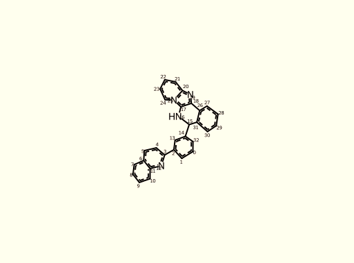 c1cc(-c2ccc3ccccc3n2)cc(C2Nc3c(nc4ccccn34)-c3ccccc32)c1